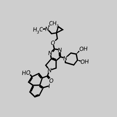 CN(C)CC1(COc2nc3c(c(N4CC[C@H](O)[C@H](O)C4)n2)CN(C(=O)c2cc(O)cc4cccc(I)c24)C3)CC1